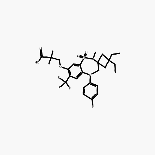 CCC1(CC)CC2(CN(c3ccc(F)cc3)c3cc(C(F)(F)F)c(OCC(C)(C)C(=O)O)cc3S(=O)(=O)N2C)C1